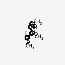 CCOc1ccc(F)c(-c2cc(OC)nc(C3CCC4(CCN(C)C4=O)N3)c2)c1